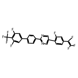 FC(F)=C(F)c1ccc(-c2cnc(-c3ccc(-c4cc(F)c(C(F)(F)F)c(F)c4)cc3)nc2)c(F)c1